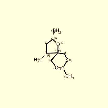 B[C@H]1C[C@@H](C)[C@]2(COP(C)SC2)O1